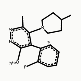 COc1nnc(C)c(N2CCC(C)CC2)c1-c1c(F)cccc1F